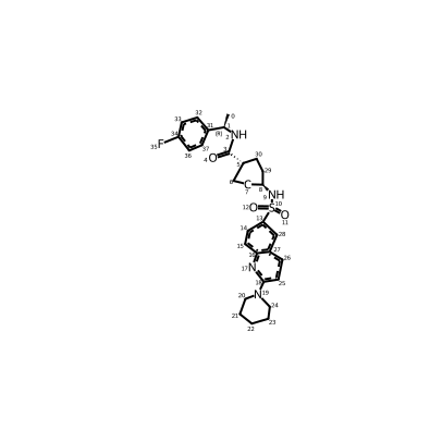 C[C@@H](NC(=O)[C@H]1CC[C@H](NS(=O)(=O)c2ccc3nc(N4CCCCC4)ccc3c2)CC1)c1ccc(F)cc1